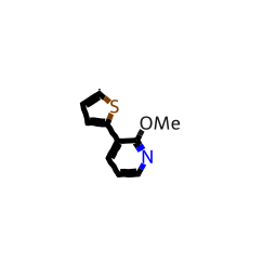 COc1ncccc1-c1cc[c]s1